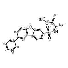 CC(C)C(NS(=O)(=O)c1ccc2c(c1)oc1ccc(-c3cccnc3)cc12)C(=O)OC(C)(C)C